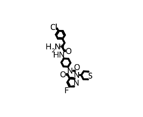 N[C@@H](Cc1ccc(Cl)cc1)C(=O)NC1CCC(n2c(=O)c3cc(F)cnc3n(C3CCSCC3)c2=O)CC1